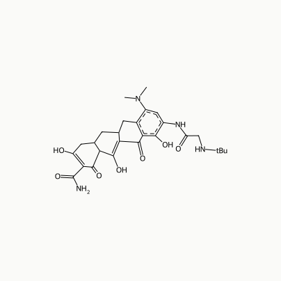 CN(C)c1cc(NC(=O)CNC(C)(C)C)c(O)c2c1CC1CC3CC(O)=C(C(N)=O)C(=O)C3C(O)=C1C2=O